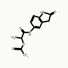 NC(OC(=O)C(F)(F)F)C(=O)Nc1ccc2c(c1)CC(=O)N2